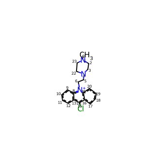 CN1CCN(CC[n+]2c3ccccc3c(Cl)c3ccccc32)CC1